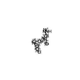 Cc1nnc(-c2cc3nc(CN4CC=C(c5cccnc5OCc5ccc(Cl)cc5F)CC4)n(CC4CCO4)c3cn2)[nH]1